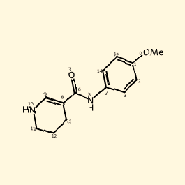 COc1ccc(NC(=O)C2=CNCCC2)cc1